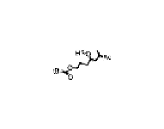 CC(=O)C(C)C[C@@H](CCCOC(=O)C(C)(C)C)OS